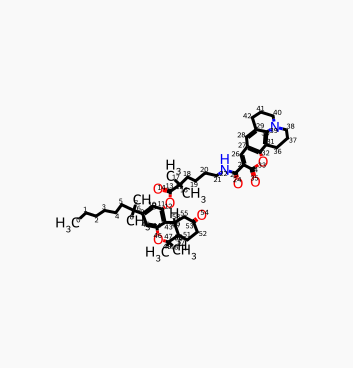 CCCCCCC(C)(C)c1cc(OC(=O)C(C)(C)CCCCNC(=O)c2cc3cc4c5c(c3oc2=O)CCCN5CCC4)c2c(c1)OC(C)(C)[C@@H]1CCC(=O)C[C@@H]21